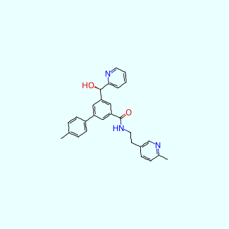 Cc1ccc(-c2cc(C(=O)NCCc3ccc(C)nc3)cc([C@@H](O)c3ccccn3)c2)cc1